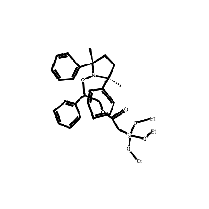 CCO[Si](CC(=O)OCC(ON1[C@](C)(c2ccccc2)CC[C@@]1(C)c1ccccc1)c1ccccc1)(OCC)OCC